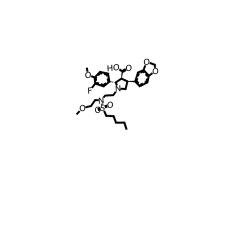 CCCCCS(=O)(=O)N(CCOC)CCN1C[C@H](c2ccc3c(c2)OCO3)[C@H](C(=O)O)[C@H]1c1ccc(OC)c(F)c1